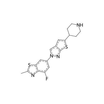 Cc1nc2c(F)cc(-n3cc4cc(C5CCNCC5)sc4n3)cc2s1